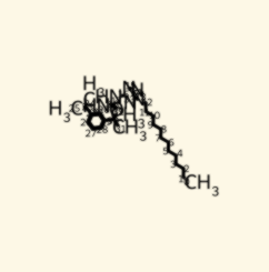 CCCCCCCCCCCCCn1nnc(NC(=O)Nc2c(C(C)C)cccc2C(C)C)n1